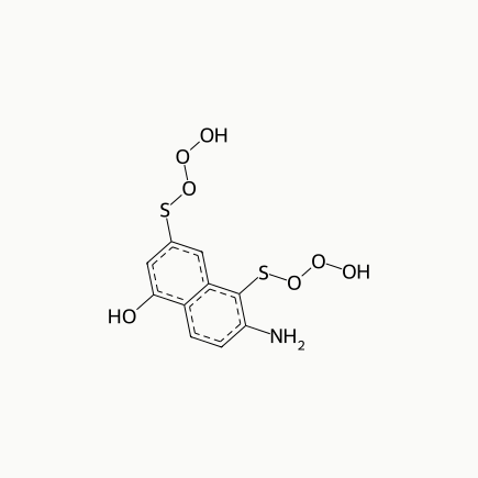 Nc1ccc2c(O)cc(SOOO)cc2c1SOOO